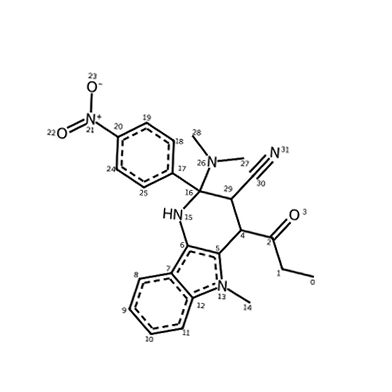 CCC(=O)C1c2c(c3ccccc3n2C)NC(c2ccc([N+](=O)[O-])cc2)(N(C)C)C1C#N